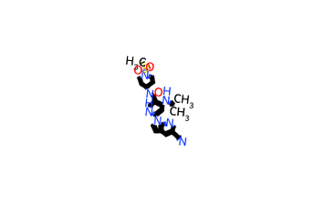 CC(C)Nc1cc(-n2ccc3cc(C#N)cnc32)ncc1C(=O)NC1CCN(S(C)(=O)=O)CC1